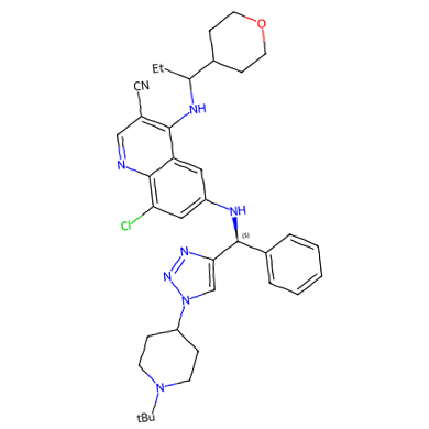 CCC(Nc1c(C#N)cnc2c(Cl)cc(N[C@@H](c3ccccc3)c3cn(C4CCN(C(C)(C)C)CC4)nn3)cc12)C1CCOCC1